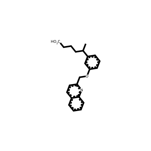 CC(CCCC(=O)O)c1cccc(OCc2ccc3ccccc3n2)c1